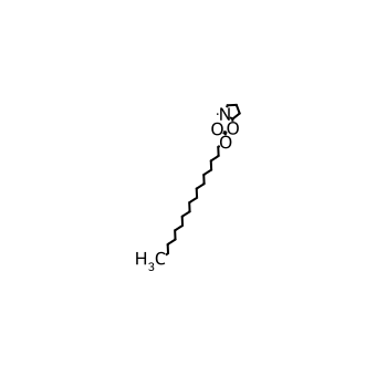 CCCCCCCCCCCCCCCCCOC(=O)OC1CCC[N]1